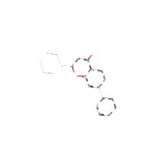 O=c1cc(N2CCCCC2)oc2cc(-c3ccccc3)ccc12